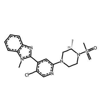 C=S(C)(=O)N1CCN(c2cc(-c3nc4ccccc4n3C)c(Cl)cn2)C[C@@H]1C